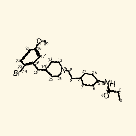 CCC(=O)NC1CCC(CCN2CCC(Cc3cc(OC)ccc3Br)CC2)CC1